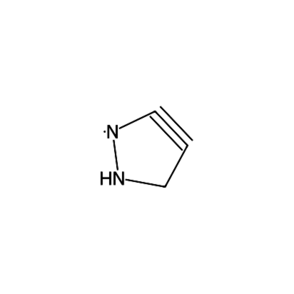 C1#C[N]NC1